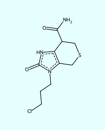 NC(=O)C1CSCc2c1[nH]c(=O)n2CCCCl